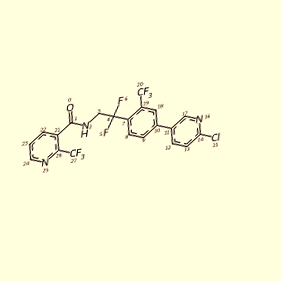 O=C(NCC(F)(F)c1ccc(-c2ccc(Cl)nc2)cc1C(F)(F)F)c1cccnc1C(F)(F)F